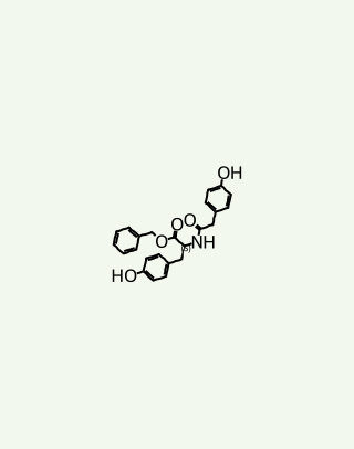 O=C(Cc1ccc(O)cc1)N[C@@H](Cc1ccc(O)cc1)C(=O)OCc1ccccc1